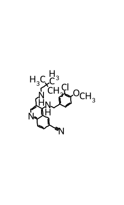 COc1ccc(CNc2c(CNCC(C)(C)C)cnc3ccc(C#N)cc23)cc1Cl